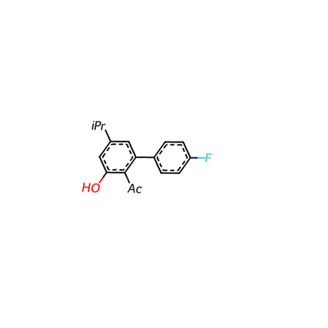 CC(=O)c1c(O)cc(C(C)C)cc1-c1ccc(F)cc1